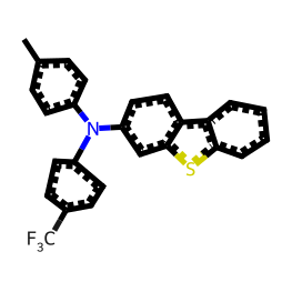 Cc1ccc(N(c2ccc(C(F)(F)F)cc2)c2ccc3c(c2)sc2ccccc23)cc1